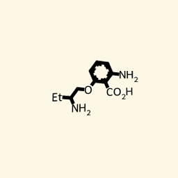 CCC(N)COc1cccc(N)c1C(=O)O